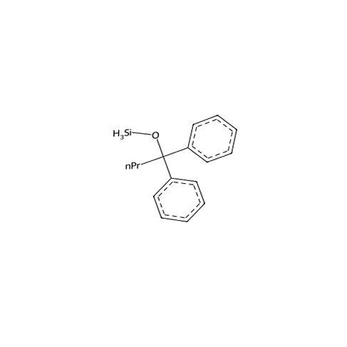 CCCC(O[SiH3])(c1ccccc1)c1ccccc1